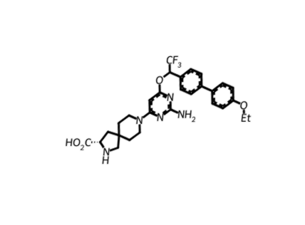 CCOc1ccc(-c2ccc(C(Oc3cc(N4CCC5(CC4)CN[C@H](C(=O)O)C5)nc(N)n3)C(F)(F)F)cc2)cc1